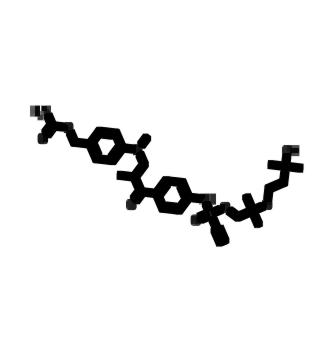 C#CP(=O)(Nc1ccc(C(=O)C(C)CN(C)c2ccc(COC(N)=O)cc2)cc1)OCC(C)(C)OCCC(C)(C)O